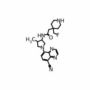 CC1CN(c2ccc(C#N)c3nccnc23)CC1NC(=O)CC1(CF)CCNCC1